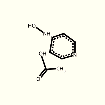 CC(=O)O.NO.c1ccncc1